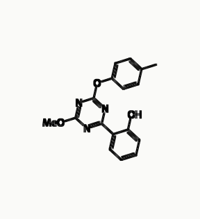 COc1nc(Oc2ccc(C)cc2)nc(-c2ccccc2O)n1